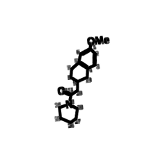 COc1ccc2c(c1)CCC(CC(=O)N1CCCCC1)C2